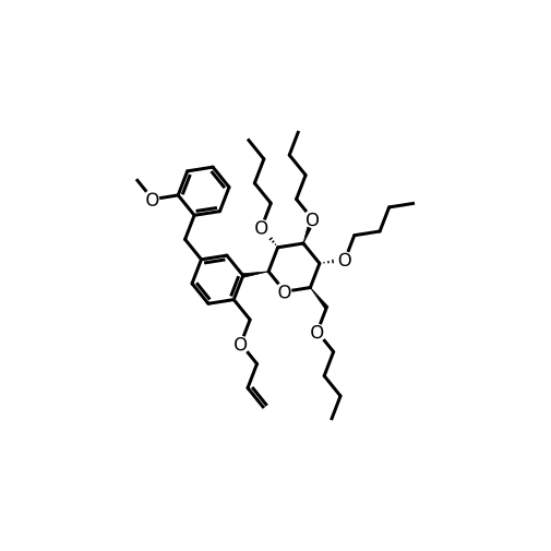 C=CCOCc1ccc(Cc2ccccc2OC)cc1[C@@H]1O[C@H](COCCCC)[C@@H](OCCCC)[C@H](OCCCC)[C@H]1OCCCC